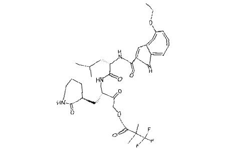 CCOc1cccc2[nH]c(C(=O)N[C@@H](CC(C)C)C(=O)N[C@@H](C[C@@H]3CCCNC3=O)C(=O)COC(=O)C(C)(C)C(F)(F)F)cc12